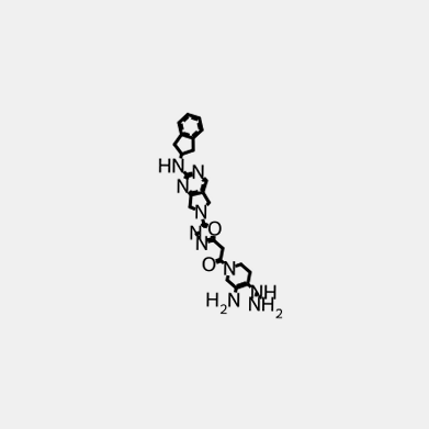 NNC1=C(N)CN(C(=O)Cc2nnc(N3Cc4cnc(NC5Cc6ccccc6C5)nc4C3)o2)CC1